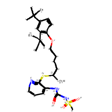 CCC(C)(C)c1ccc(OCCCCC(Sc2ncccc2NC(=O)NS(C)(=O)=O)C(=O)O)c(C(C)(C)CC)c1